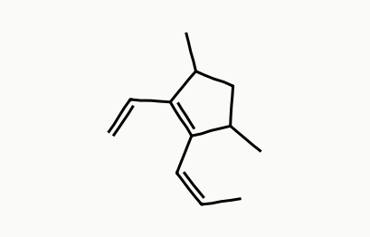 C=CC1=C(/C=C\C)C(C)CC1C